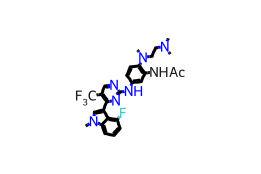 CC(=O)Nc1cc(Nc2ncc(C(F)(F)F)c(-c3cn(C)c4cccc(F)c34)n2)ccc1N(C)CCN(C)C